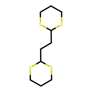 C1CSC(CCC2SCCCS2)SC1